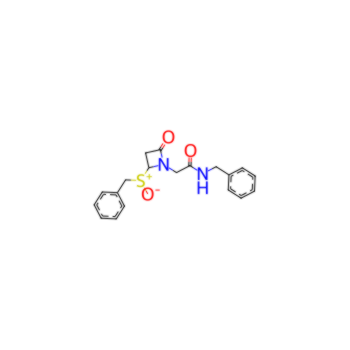 O=C(CN1C(=O)CC1[S+]([O-])Cc1ccccc1)NCc1ccccc1